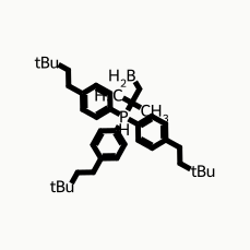 BCC(C)(C)[PH](c1ccc(CCC(C)(C)C)cc1)(c1ccc(CCC(C)(C)C)cc1)c1ccc(CCC(C)(C)C)cc1